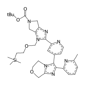 Cc1cccc(-c2nc3n(c2-c2ccnc(-c4nc5c(n4COCC[Si](C)(C)C)CN(C(=O)OC(C)(C)C)C5)c2)CCOC3)n1